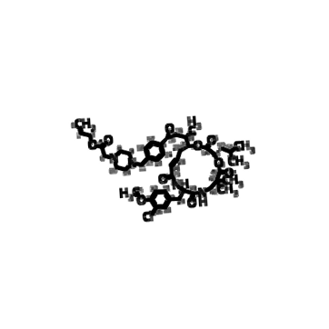 C=CCOC(=O)CN1CCN(Cc2ccc([C@H]3O[C@@H]3[C@@H](C)[C@@H]3C/C=C/C(=O)N[C@H](Cc4ccc(OC)c(Cl)c4)C(=O)NCC(C)(C)C(=O)O[C@@H](CC(C)C)C(=O)O3)cc2)CC1